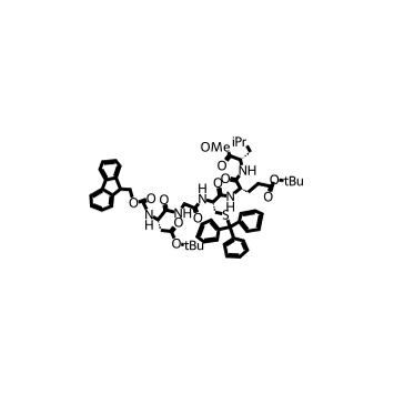 COC(=O)[C@H](CC(C)C)NC(=O)[C@H](CCC(=O)OC(C)(C)C)NC(=O)[C@H](CSC(c1ccccc1)(c1ccccc1)c1ccccc1)NC(=O)CNC(=O)[C@H](CC(=O)OC(C)(C)C)NC(=O)OCC1c2ccccc2-c2ccccc21